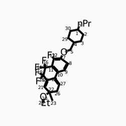 CCCC1CCC(COc2ccc3c(c2F)C(F)(F)C(F)(F)C2=CC(C)(OCC)CC=C23)CC1